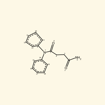 NC(=O)CCC(=O)N(c1ccccc1)c1ccccc1